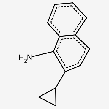 Nc1c(C2CC2)ccc2ccccc12